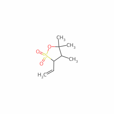 C=CC1C(C)C(C)(C)OS1(=O)=O